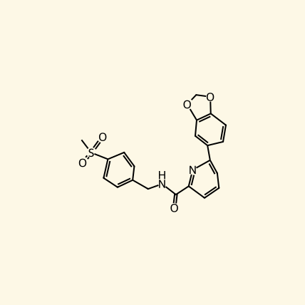 CS(=O)(=O)c1ccc(CNC(=O)c2cccc(-c3ccc4c(c3)OCO4)n2)cc1